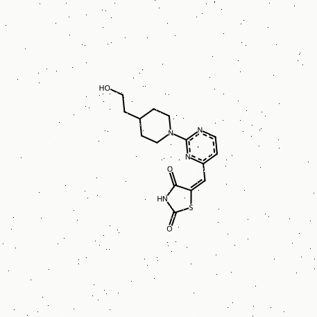 O=C1NC(=O)/C(=C\c2ccnc(N3CCC(CCO)CC3)n2)S1